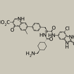 Cc1cc2c(=O)c(C(=O)O)c[nH]c2cc1-c1ccc(C[C@H](NC(=O)[C@H]2CC[C@H](CN)CC2)C(=O)Nc2cc(Cl)c3[nH]c(=O)[nH]c3c2)cc1